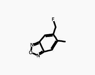 Cc1cc2nonc2cc1CF